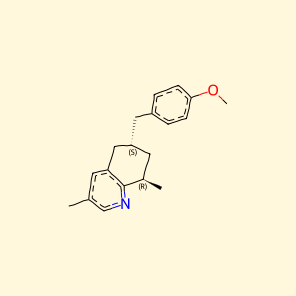 COc1ccc(C[C@H]2Cc3cc(C)cnc3[C@H](C)C2)cc1